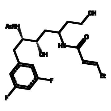 CC/C=C/C(=O)NC(CCO)C[C@H](O)[C@H](Cc1cc(F)cc(F)c1)NC(C)=O